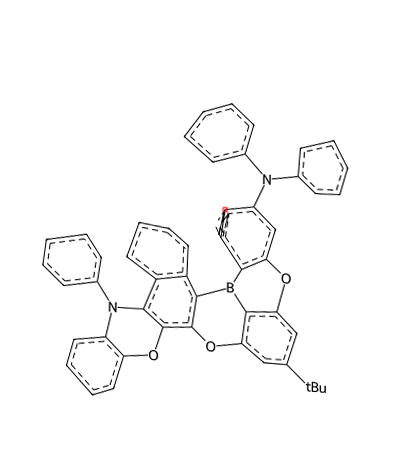 CC(C)(C)c1cc2c3c(c1)Oc1c4c(c5ccccc5c1B3c1c(cc(N(c3ccccc3)c3ccccc3)c3ccccc13)O2)N(c1ccccc1)c1ccccc1O4